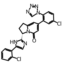 O=c1cc(-c2cc(Cl)ccc2-n2cnnn2)cc2n1[C@H](c1ncc(-c3ccccc3Cl)[nH]1)CC2